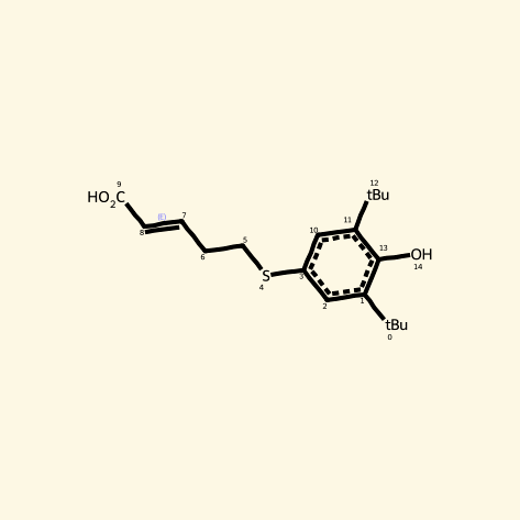 CC(C)(C)c1cc(SCC/C=C/C(=O)O)cc(C(C)(C)C)c1O